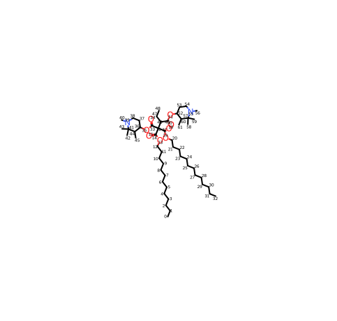 CCCCCCCCCCCCCOC(=O)C(C(=O)OCCCCCCCCCCCCC)(C(=O)OC1CCN(C)C(C)(C)C1C)C(CC)C(=O)OC1CCN(C)C(C)(C)C1C